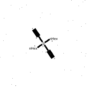 C#C[Si](C#C)(CCCCCC)CCCCCC